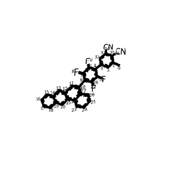 Cc1cc(-c2c(F)c(F)c(-c3cc4cc5ccccc5cc4c4ccccc34)c(F)c2F)cc(C#N)c1C#N